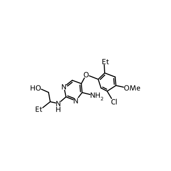 CCc1cc(OC)c(Cl)cc1Oc1cnc(NC(CC)CO)nc1N